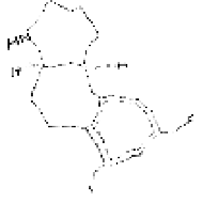 Fc1cc(F)c2c(c1)[C@@H]1CCCN[C@@H]1CC2